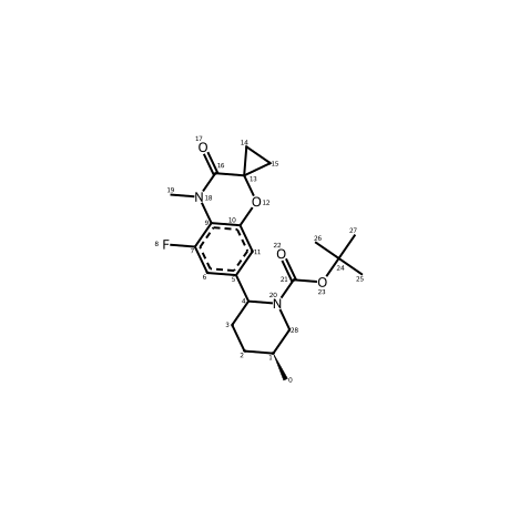 C[C@H]1CCC(c2cc(F)c3c(c2)OC2(CC2)C(=O)N3C)N(C(=O)OC(C)(C)C)C1